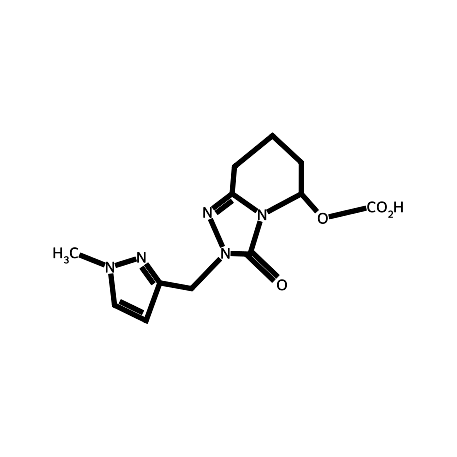 Cn1ccc(Cn2nc3n(c2=O)C(OC(=O)O)CCC3)n1